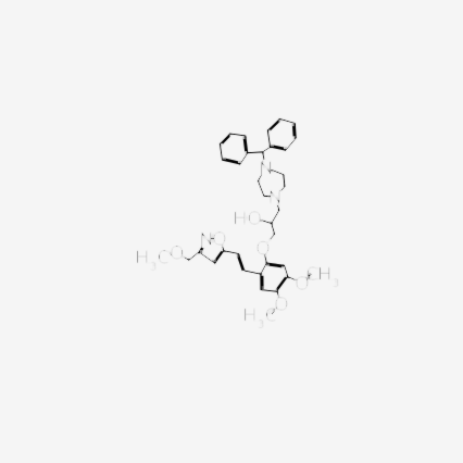 COCc1cc(C=Cc2cc(OC)c(OC)cc2OCC(O)CN2CCN(C(c3ccccc3)c3ccccc3)CC2)on1